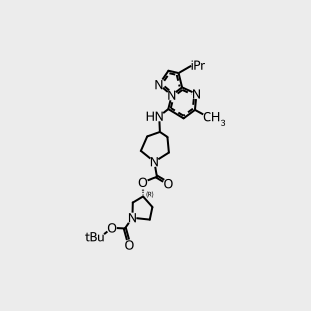 Cc1cc(NC2CCN(C(=O)O[C@@H]3CCN(C(=O)OC(C)(C)C)C3)CC2)n2ncc(C(C)C)c2n1